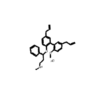 C=CCc1ccc(OC)c(-c2cc(CC=C)ccc2OC(CCNC)c2ccccc2)c1.Cl